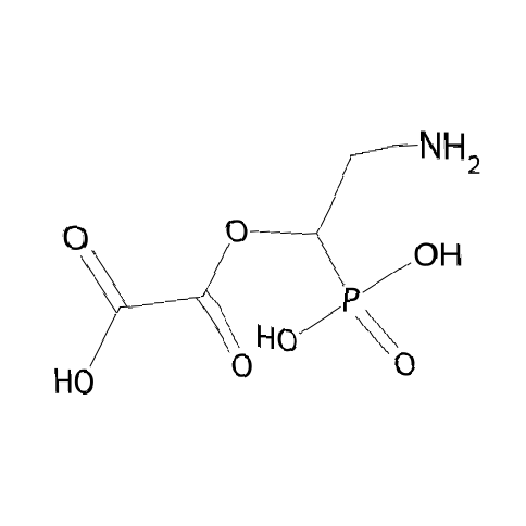 NCC(OC(=O)C(=O)O)P(=O)(O)O